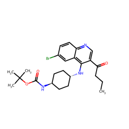 CCCC(=O)c1cnc2ccc(Br)cc2c1N[C@H]1CC[C@H](NC(=O)OC(C)(C)C)CC1